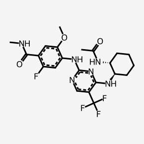 CNC(=O)c1cc(OC)c(Nc2ncc(C(F)(F)F)c(N[C@@H]3CCCC[C@H]3NC(C)=O)n2)cc1F